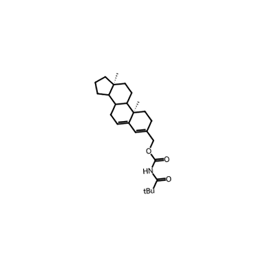 CC(C)(C)C(=O)NC(=O)OCC1=CC2=CCC3C4CCC[C@@]4(C)CCC3[C@@]2(C)CC1